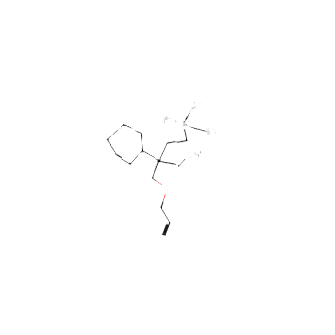 C=CCOCC(CC[Si](C(C)C)(C(C)C)C(C)C)(COC)C1CCCCC1